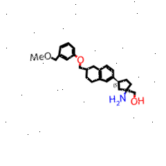 COCc1cccc(OCC2CCc3cc([C@H]4CC[C@](N)(CO)C4)ccc3C2)c1